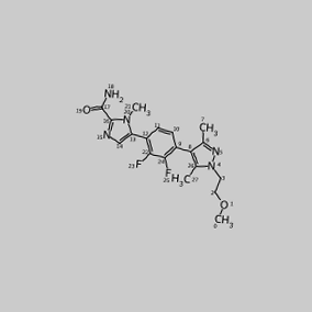 COCCn1nc(C)c(-c2ccc(-c3cnc(C(N)=O)n3C)c(F)c2F)c1C